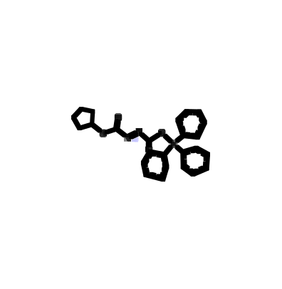 O=C(/N=N/C(=O)O[Si](c1ccccc1)(c1ccccc1)c1ccccc1)OC1CCCC1